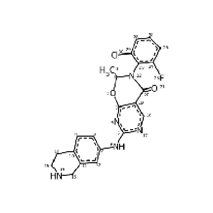 CC1Oc2nc(Nc3ccc4c(c3)CNCC4)ncc2C(=O)N1c1c(F)cccc1Cl